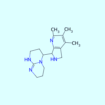 Cc1nc2c(c(C)c1C)CNC2C1CCNC2=NCCCN21